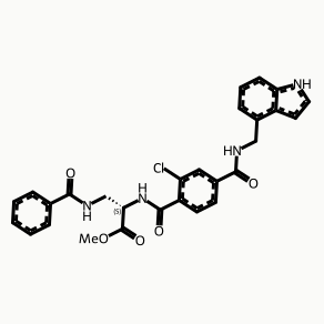 COC(=O)[C@H](CNC(=O)c1ccccc1)NC(=O)c1ccc(C(=O)NCc2cccc3[nH]ccc23)cc1Cl